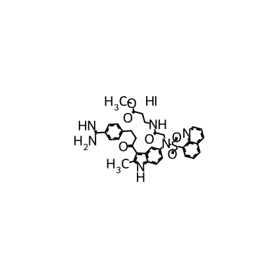 COC(=O)CCNC(=O)CN(c1ccc2[nH]c(C)c(C(=O)CCc3ccc(C(=N)N)cc3)c2c1)S(=O)(=O)c1cccc2cccnc12.I